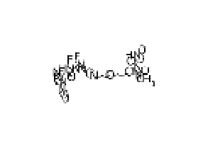 Cn1c(=O)n(C2CCC(=O)NC2=O)c2ccc(CCCOCCCN3CCC(n4cc(NC(=O)c5cnn6ccc(N7CCOCC7)nc56)c(C(F)F)n4)CC3)cc21